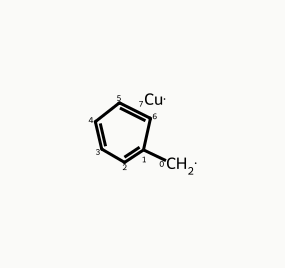 [CH2]c1ccccc1.[Cu]